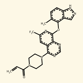 C=CC(=O)N1CCN(c2ncnc3c(Oc4c(C)ccc5[nH]ncc45)nc(C(F)(F)F)cc23)CC1